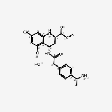 COC(=O)[C@H]1C[C@H](NC(=O)Cc2ccc(C(C)N)cc2)c2c(Cl)cc(Cl)cc2N1.Cl